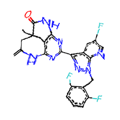 C=C1CC2(C)C(=O)Nc3nc(-c4nn(Cc5c(F)cccc5F)c5ncc(F)cc45)nc(c32)N1